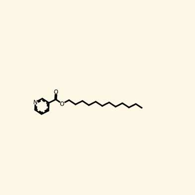 CCCCCCCCCCCCOC(=O)c1cccnc1